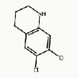 Clc1cc2c(cc1Cl)NCCC2